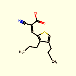 CCCc1csc(C=C(C#N)C(=O)O)c1CCC